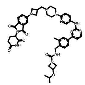 Cc1cc(-c2ccnc(Nc3ccc(N4CCN(CC5CN(c6ccc7c(c6)C(=O)N(C6CCC(=O)NC6=O)C7=O)C5)CC4)nc3)n2)ccc1CNC(=O)N1CC(OC(C)C)C1